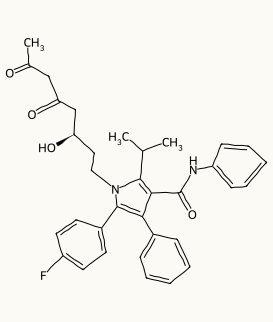 CC(=O)CC(=O)C[C@H](O)CCn1c(-c2ccc(F)cc2)c(-c2ccccc2)c(C(=O)Nc2ccccc2)c1C(C)C